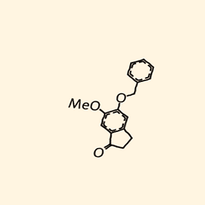 COc1cc2c(cc1OCc1ccccc1)CCC2=O